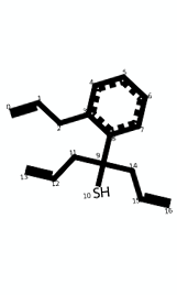 C=CCc1ccccc1C(S)(CC=C)CC=C